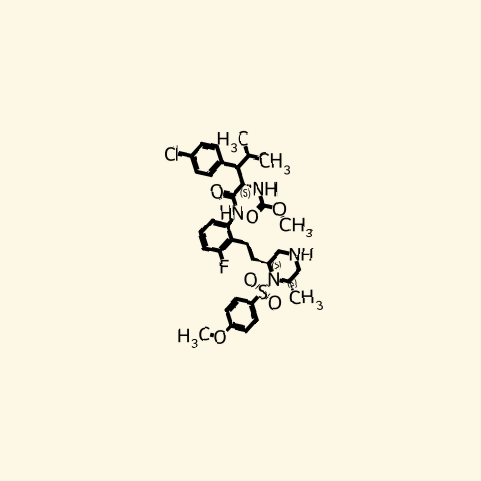 COC(=O)N[C@H](C(=O)Nc1cccc(F)c1CC[C@H]1CNC[C@H](C)N1S(=O)(=O)c1ccc(OC)cc1)C(c1ccc(Cl)cc1)C(C)C